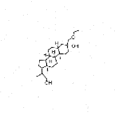 CCOC[C@@]1(O)CC[C@@]2(C)[C@H](CC[C@@H]3[C@@H]2CC[C@]2(C)[C@@H](C(C)CO)CC[C@@H]32)C1